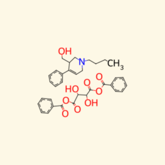 CCCCN1CC=C(c2ccccc2)C(CO)C1.O=C(OC(=O)C(O)C(O)C(=O)OC(=O)c1ccccc1)c1ccccc1